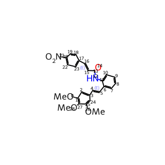 COc1cc(/C=C/c2ccccc2NC(=O)/C=C/c2ccc([N+](=O)[O-])cc2)cc(OC)c1OC